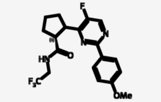 COc1ccc(-c2ncc(F)c(C3CCC[C@@H]3C(=O)NCC(F)(F)F)n2)cc1